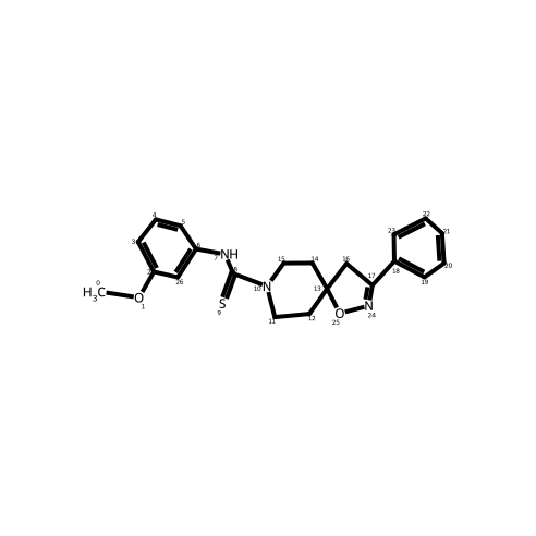 COc1cccc(NC(=S)N2CCC3(CC2)CC(c2ccccc2)=NO3)c1